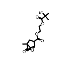 CCC(C)(C)C(=O)OCCOC(=O)C1CC2(C)C(=O)OC1C2(C)C